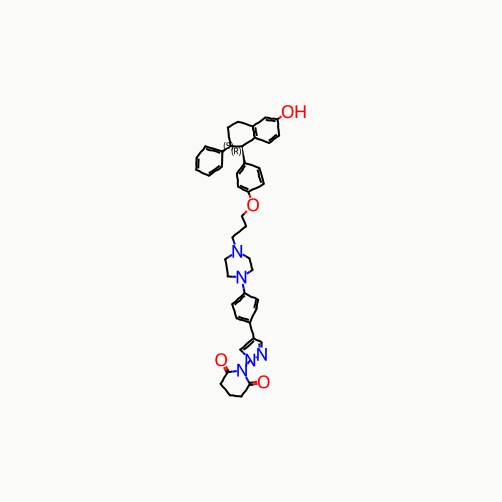 O=C1CCCC(=O)N1n1cc(-c2ccc(N3CCN(CCCOc4ccc([C@@H]5c6ccc(O)cc6CC[C@@H]5c5ccccc5)cc4)CC3)cc2)cn1